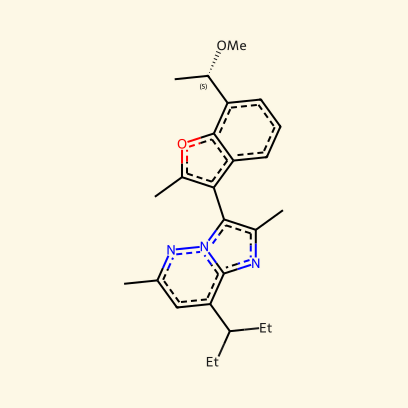 CCC(CC)c1cc(C)nn2c(-c3c(C)oc4c([C@H](C)OC)cccc34)c(C)nc12